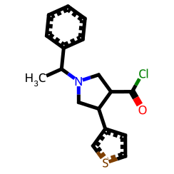 CC(c1ccccc1)N1CC(C(=O)Cl)C(c2ccsc2)C1